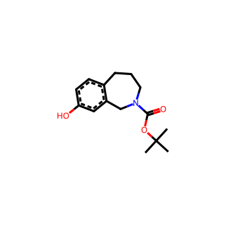 CC(C)(C)OC(=O)N1CCCc2ccc(O)cc2C1